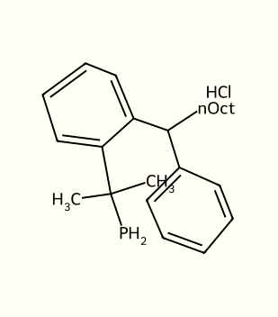 CCCCCCCCC(c1ccccc1)c1ccccc1C(C)(C)P.Cl